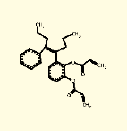 C=CC(=O)Oc1cccc(C(CCC)=C(CCC)c2ccccc2)c1OC(=O)C=C